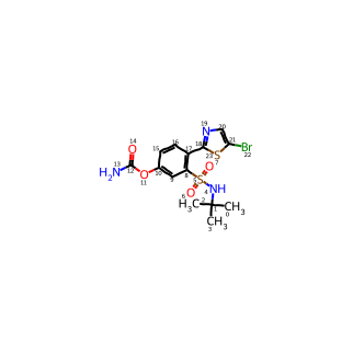 CC(C)(C)NS(=O)(=O)c1cc(OC(N)=O)ccc1-c1ncc(Br)s1